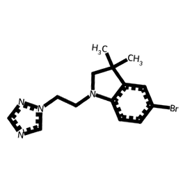 CC1(C)CN(CCn2cncn2)c2ccc(Br)cc21